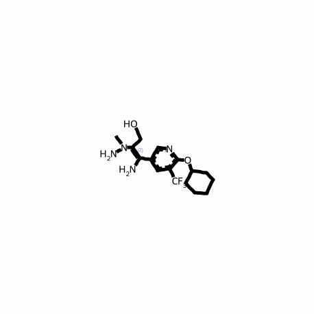 CN(N)/C(CO)=C(\N)c1cnc(OC2CCCCC2)c(C(F)(F)F)c1